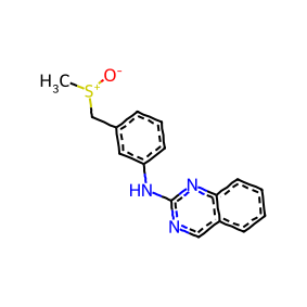 C[S+]([O-])Cc1cccc(Nc2ncc3ccccc3n2)c1